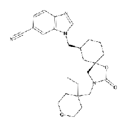 CCC1(CN2C[C@@]3(CCC[C@H](Cn4cnc5ccc(C#N)cc54)C3)OC2=O)CCOCC1